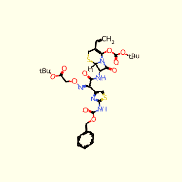 C=CC1=C(OC(=O)OC(C)(C)C)N2C(=O)[C@@H](NC(=O)/C(=N\OCC(=O)OC(C)(C)C)c3csc(NC(=O)OCc4ccccc4)n3)[C@@H]2SC1